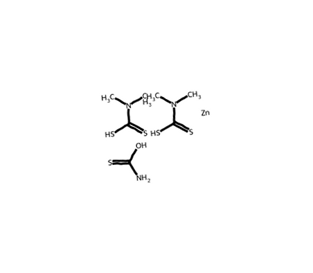 CN(C)C(=S)S.CN(C)C(=S)S.NC(O)=S.[Zn]